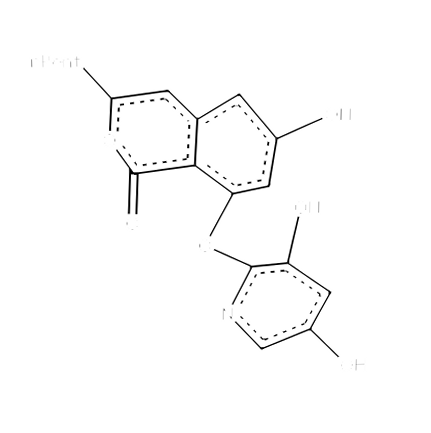 CCCCCc1cc2cc(O)cc(Oc3ncc(O)cc3O)c2c(=O)o1